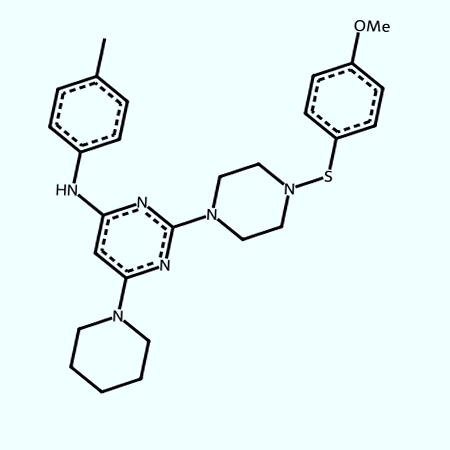 COc1ccc(SN2CCN(c3nc(Nc4ccc(C)cc4)cc(N4CCCCC4)n3)CC2)cc1